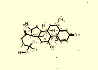 CCOC1(CC)OCC(=O)[C@@]2(O1)[C@@H](C)C[C@H]1[C@@H]3C[C@H](C)C4=CC(=O)C=C[C@]4(C)[C@@]3(Cl)[C@@H](O)C[C@@]12C